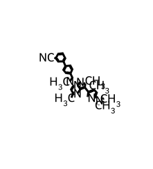 Cc1cc(N(C)Cc2ccc(-c3cccc(C#N)c3)cc2)n2nc(C)c(-c3cnc(N(C)C)cc3C)c2n1